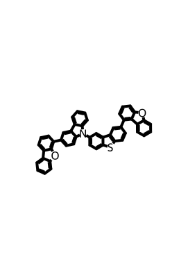 c1ccc2c(c1)oc1c(-c3ccc4c(c3)c3ccccc3n4-c3ccc4sc5ccc(-c6cccc7oc8ccccc8c67)cc5c4c3)cccc12